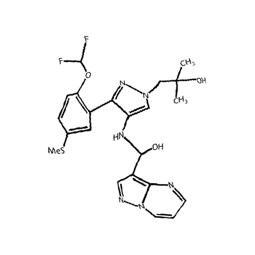 CSc1ccc(OC(F)F)c(-c2nn(CC(C)(C)O)cc2NC(O)c2cnn3cccnc23)c1